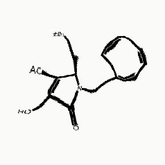 CC(=O)C1=C(O)C(=O)N(Cc2ccccc2)C1CC(C)(C)C